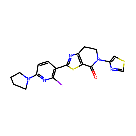 O=C1c2sc(-c3ccc(N4CCCC4)nc3I)nc2CCN1c1cscn1